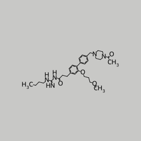 CCCCNC(=N)NC(=O)CCc1ccc(-c2ccc(CN3CCN(C(C)=O)CC3)cc2)c(OCCCOC)c1